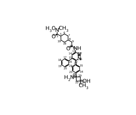 CN(C)C(=O)C1CCC(CC(=O)Nc2cc(-c3ccccc3)c(-c3ccc(C4(N)CC(C)(O)C4)cc3)nn2)CC1